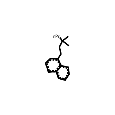 [CH2]CCC(C)(C)CCc1cccc2ccccc12